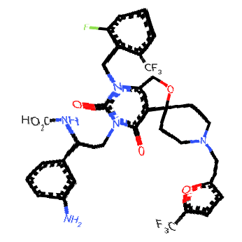 Nc1cccc(C(Cn2c(=O)c3c(n(Cc4c(F)cccc4C(F)(F)F)c2=O)COC32CCN(Cc3ccc(C(F)(F)F)o3)CC2)NC(=O)O)c1